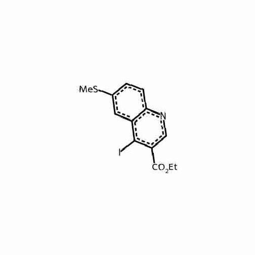 CCOC(=O)c1cnc2ccc(SC)cc2c1I